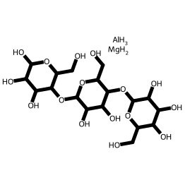 OCC1OC(OC2C(CO)OC(OC3C(CO)OC(O)C(O)C3O)C(O)C2O)C(O)C(O)C1O.[AlH3].[MgH2]